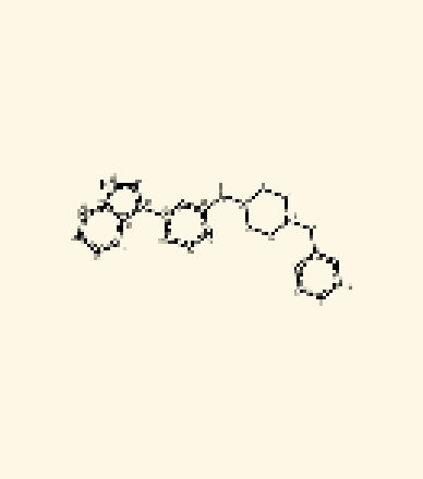 c1ccc(CN2CCC(Nc3cc(-c4c[nH]c5ncccc45)ncn3)CC2)cc1